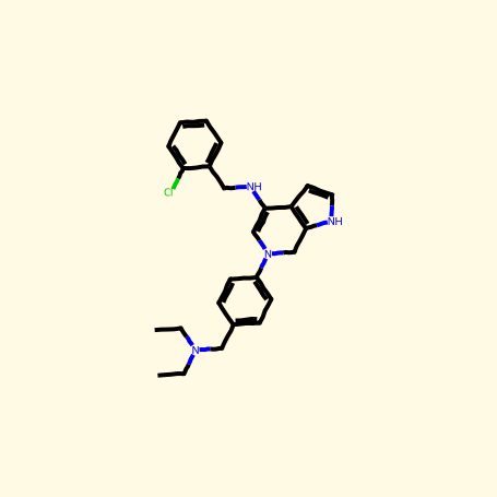 CCN(CC)Cc1ccc(N2C=C(NCc3ccccc3Cl)c3cc[nH]c3C2)cc1